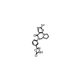 CSc1ncc2c(n1)N1CCCC1CN(c1cccc(-c3n[nH]c(=O)o3)c1)C2=O